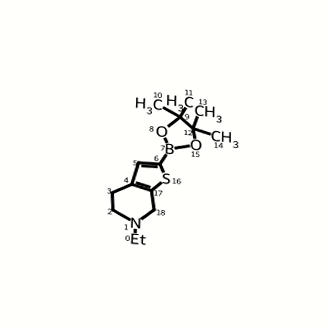 CCN1CCc2cc(B3OC(C)(C)C(C)(C)O3)sc2C1